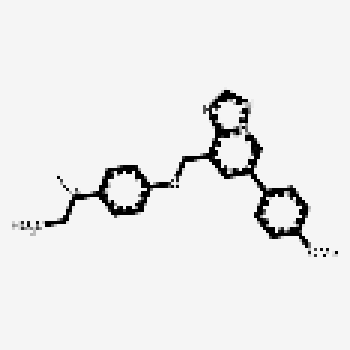 COc1ccc(-c2cc(COc3ccc([C@@H](C)CC(=O)O)cc3)c3ncnn3c2)cc1